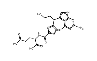 Nc1nc(O)c2c(C(CCO)c3ccc(C(=O)N[C@@H](CCC(=O)O)C(=O)O)s3)c[nH]c2n1